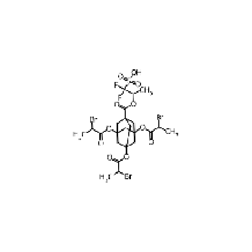 CC(Br)C(=O)OC12CC3(OC(=O)C(C)Br)CC(OC(=O)C(C)Br)(C1)CC(C(=O)OC(C)C(F)(F)S(=O)(=O)O)(C2)C3